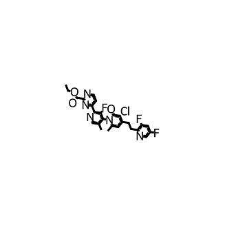 CCOC(=O)c1nccc(-c2ncc(C)c(-n3c(C)cc(CCc4ncc(F)cc4F)c(Cl)c3=O)c2F)n1